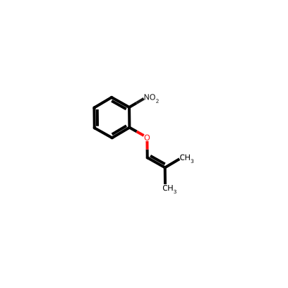 CC(C)=COc1ccccc1[N+](=O)[O-]